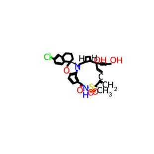 C=C1C/C=C/[C@](O)(C#CCO)[C@@H]2CC[C@H]2CN2C[C@@]3(CCCc4cc(Cl)ccc43)COc3ccc(cc32)C(=O)NS(=O)(=O)[C@@H]1C